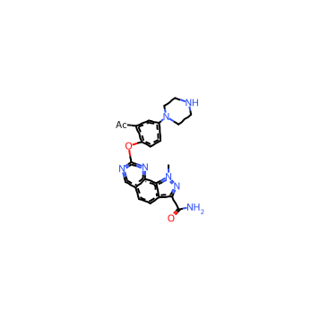 CC(=O)c1cc(N2CCNCC2)ccc1Oc1ncc2ccc3c(C(N)=O)nn(C)c3c2n1